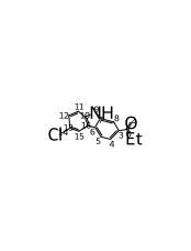 CCC(=O)c1ccc2c(c1)[nH]c1ccc(Cl)cc12